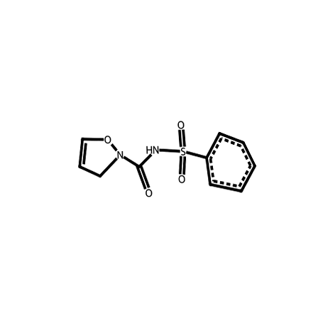 O=C(NS(=O)(=O)c1ccccc1)N1CC=CO1